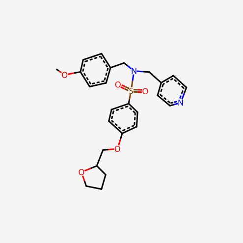 COc1ccc(CN(Cc2ccncc2)S(=O)(=O)c2ccc(OCC3CCCO3)cc2)cc1